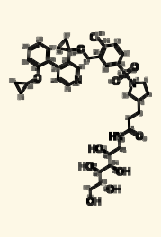 O=C(CCC1CCN(S(=O)(=O)c2ccc(Cl)c(COC3(c4cnccc4-c4ccccc4OC4CC4)CC3)c2)C1)NC[C@H](O)[C@@H](O)[C@H](O)[C@H](O)CO